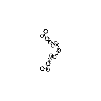 CC(C)(CCOC(=O)COc1ccc(C(=O)c2ccccc2)cc1)OCCC(C)(C)OC(=O)COc1ccc(C(=O)c2ccccc2)cc1